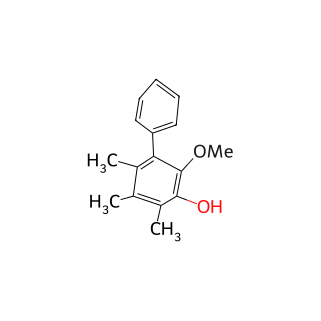 COc1c(O)c(C)c(C)c(C)c1-c1ccccc1